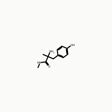 CNC(=O)C(C)(N)Cc1ccc(O)cc1